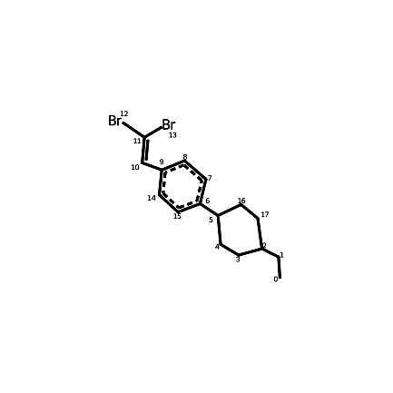 CCC1CCC(c2ccc(C=C(Br)Br)cc2)CC1